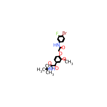 COc1cc(C(=O)C(=O)NC(C)(C)C)ccc1OCC(=O)Nc1ccc(Br)c(F)c1